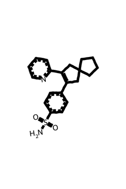 NS(=O)(=O)c1ccc(C2=C(c3ccccn3)CC3(CCCC3)C2)cc1